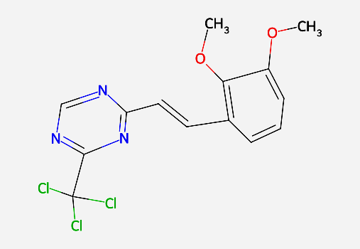 COc1cccc(C=Cc2ncnc(C(Cl)(Cl)Cl)n2)c1OC